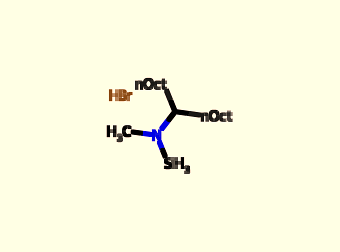 Br.CCCCCCCCC(CCCCCCCC)N(C)[SiH3]